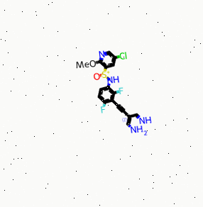 COc1ncc(Cl)cc1[S+]([O-])Nc1ccc(F)c(C#C/C(C=N)=C/N)c1F